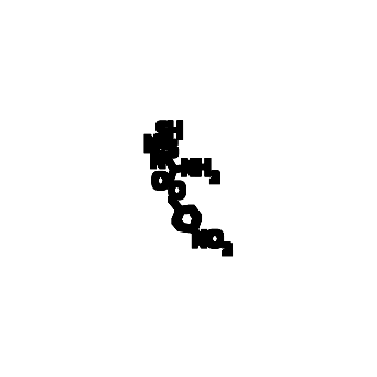 NC(C(=O)OCc1ccc([N+](=O)[O-])cc1)c1nnc(S)s1